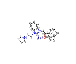 N=c1n(CCN2CCCC2)c2ccccc2n1CC(=O)C12CC3CC(CC(C3)C1)C2